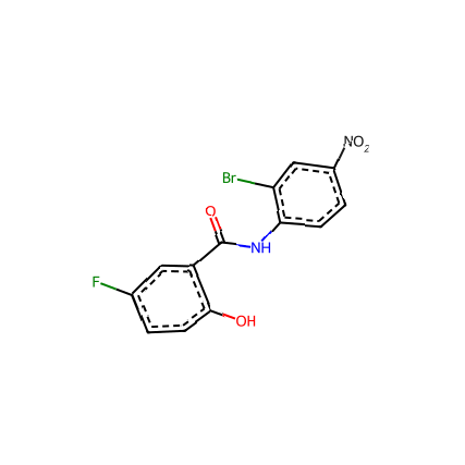 O=C(Nc1ccc([N+](=O)[O-])cc1Br)c1cc(F)ccc1O